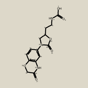 O=C(O)NCCC1CN(c2ccc3c(c2)NC(=O)CO3)C(=O)O1